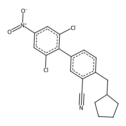 N#Cc1cc(-c2c(Cl)cc([N+](=O)[O-])cc2Cl)ccc1CC1CCCC1